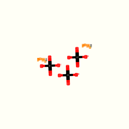 [O]=[Cr](=[O])([O-])[O-].[O]=[Cr](=[O])([O-])[O-].[O]=[Cr](=[O])([O-])[O-].[PH3+3].[PH3+3]